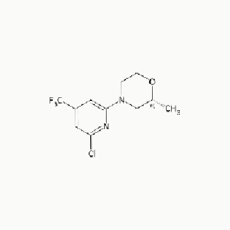 C[C@@H]1CN(c2cc(C(F)(F)F)cc(Cl)n2)CCO1